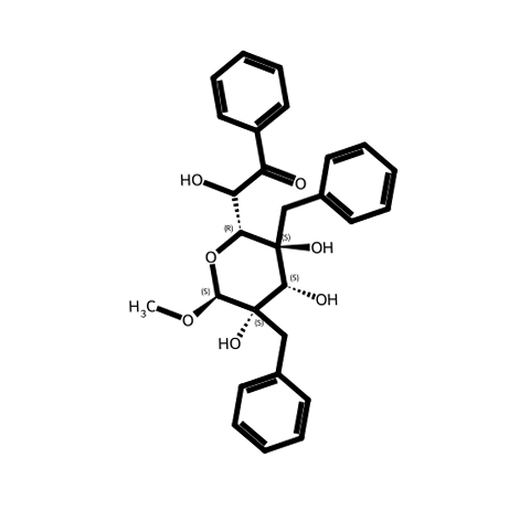 CO[C@H]1O[C@H](C(O)C(=O)c2ccccc2)[C@](O)(Cc2ccccc2)[C@H](O)[C@@]1(O)Cc1ccccc1